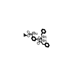 CC(C)(C)N(C(=O)OC1CC1)c1cccc(NC(=O)C(Cc2ccccc2)NC(=O)NCc2ccccc2)c1